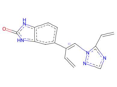 C=C/C(=C\n1ncnc1C=C)c1ccc2[nH]c(=O)[nH]c2c1